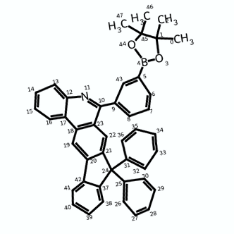 CC1(C)OB(c2cccc(-c3nc4ccccc4c4cc5c(cc34)C(c3ccccc3)(c3ccccc3)c3ccccc3-5)c2)OC1(C)C